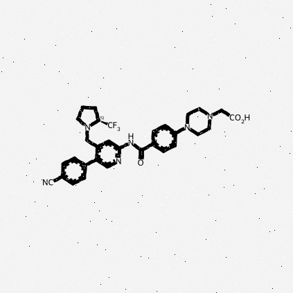 N#Cc1ccc(-c2cnc(NC(=O)c3ccc(N4CCN(CC(=O)O)CC4)cc3)cc2CN2CCC[C@H]2C(F)(F)F)cc1